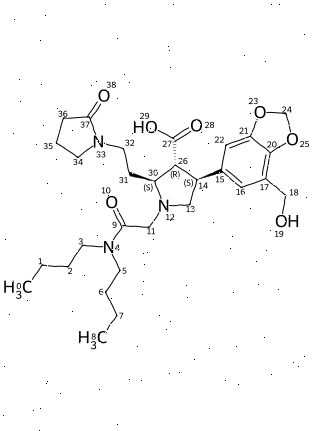 CCCCN(CCCC)C(=O)CN1C[C@H](c2cc(CO)c3c(c2)OCO3)[C@@H](C(=O)O)[C@@H]1CCN1CCCC1=O